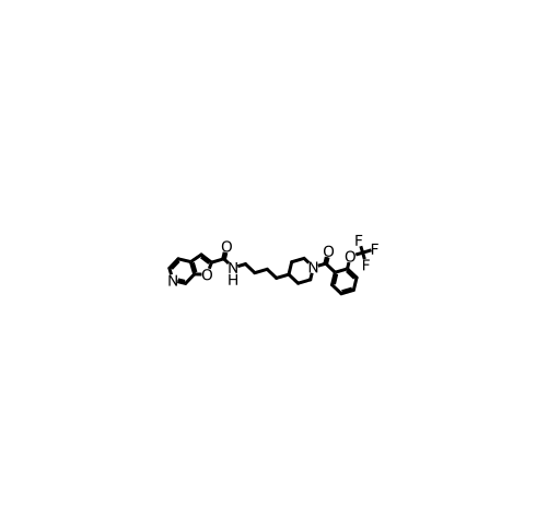 O=C(NCCCCC1CCN(C(=O)c2ccccc2OC(F)(F)F)CC1)c1cc2ccncc2o1